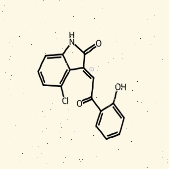 O=C1Nc2cccc(Cl)c2/C1=C\C(=O)c1ccccc1O